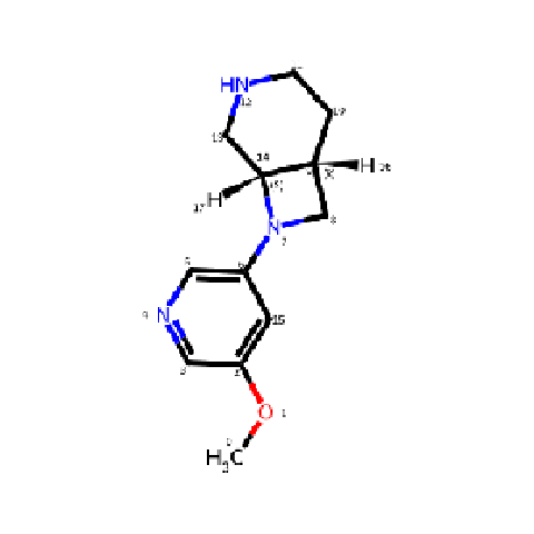 COc1cncc(N2C[C@H]3CCNC[C@H]32)c1